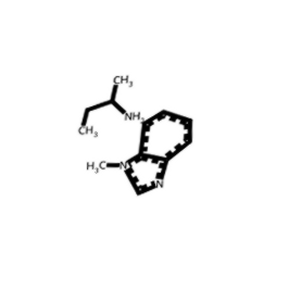 CCC(C)N.Cn1cnc2ccccc21